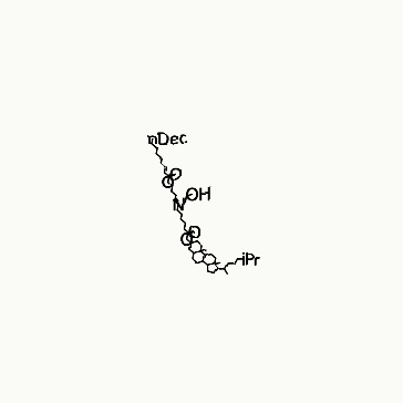 CCCCCCCCCCCCCCCCCC(=O)OCCCCN(CCO)CCCCCC(=O)OC1CCC2(C)C(CCC3C2CCC2(C)C(C(C)CCCC(C)C)CCC32)C1